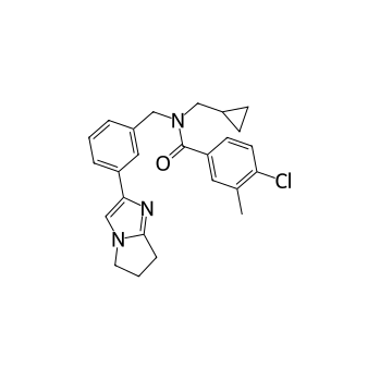 Cc1cc(C(=O)N(Cc2cccc(-c3cn4c(n3)CCC4)c2)CC2CC2)ccc1Cl